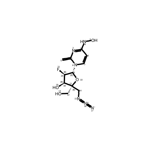 C=C1N=C(NO)C=CN1[C@@H]1O[C@@](CO)(CN=[N+]=[N-])[C@@H](O)[C@H]1F